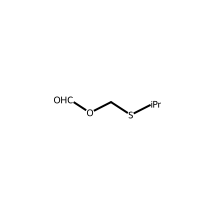 CC(C)SCOC=O